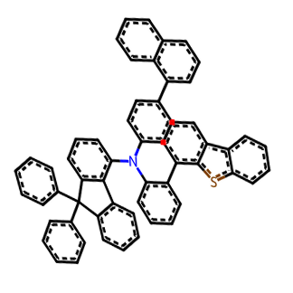 c1ccc(C2(c3ccccc3)c3ccccc3-c3c(N(c4ccc(-c5cccc6ccccc56)cc4)c4ccccc4-c4cccc5c4sc4ccccc45)cccc32)cc1